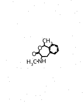 CNC1Cc2ccccc2C(C)OC1=O